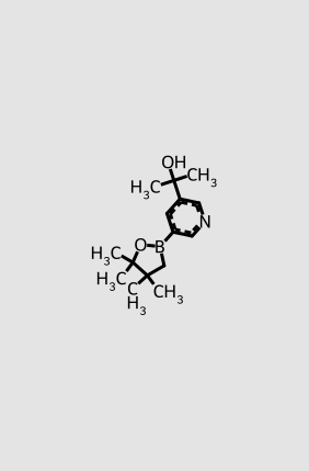 CC(C)(O)c1cncc(B2CC(C)(C)C(C)(C)O2)c1